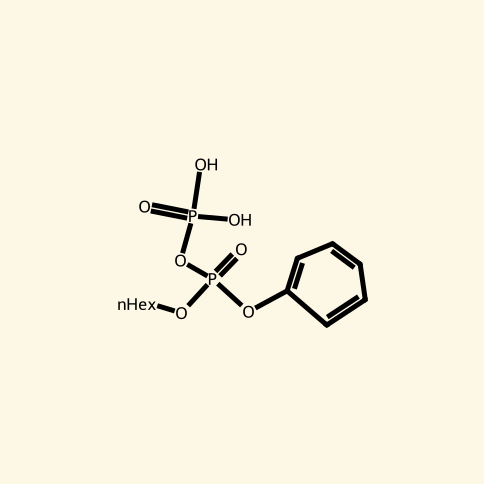 CCCCCCOP(=O)(Oc1ccccc1)OP(=O)(O)O